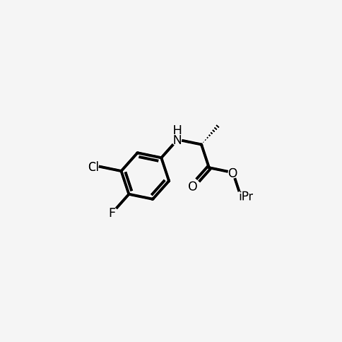 CC(C)OC(=O)[C@@H](C)Nc1ccc(F)c(Cl)c1